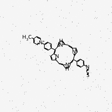 Cc1cc[n+](-c2ccc(-c3c4nc(cc5ccc([nH]5)c(-c5ccc(N=C=S)cc5)c5nc(cc6ccc3[nH]6)C=C5)C=C4)cc2)cc1